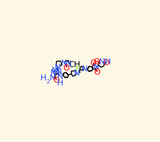 CN1CCN(C2CCCN(c3nnc(C(N)=O)c(Nc4ccc(C5CCN(CC6(F)CCN(c7ccc8c(c7)C(=O)N(C7CCC(=O)NC7=O)C8=O)C6)CC5)cc4)n3)C2)C1=O